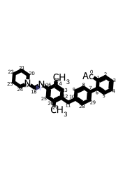 CC(=O)c1ccccc1-c1ccc(Cc2cc(C)c(/N=C/N3CCCCC3)cc2C)cc1